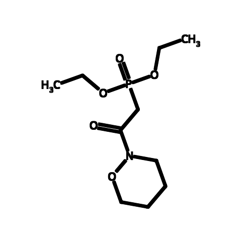 CCOP(=O)(CC(=O)N1CCCCO1)OCC